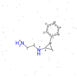 NCCNC1CC1c1ccccc1